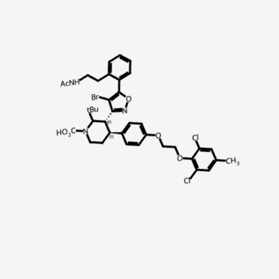 CC(=O)NCCc1ccccc1-c1onc([C@H]2C(C(C)(C)C)N(C(=O)O)CC[C@@H]2c2ccc(OCCOc3c(Cl)cc(C)cc3Cl)cc2)c1Br